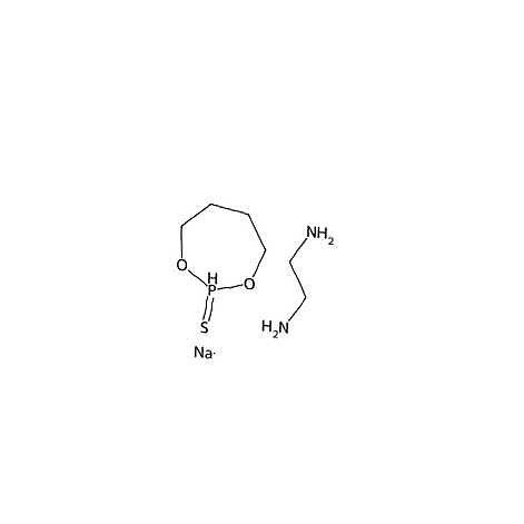 NCCN.S=[PH]1OCCCCO1.[Na]